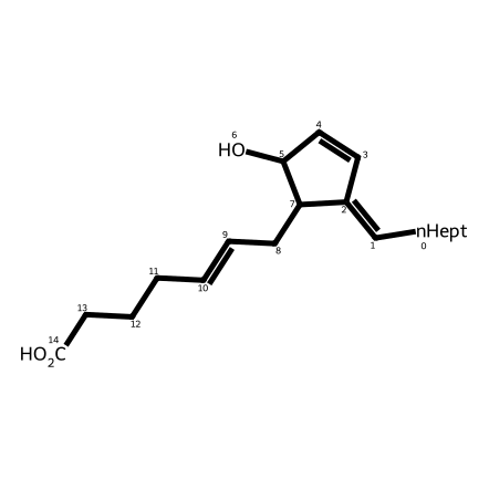 CCCCCCC/C=C1\C=CC(O)C1C/C=C/CCCC(=O)O